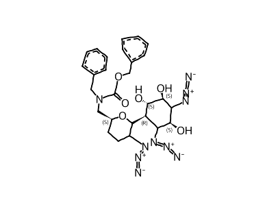 [N-]=[N+]=NC1CC[C@@H](CN(Cc2ccccc2)C(=O)OCc2ccccc2)OC1[C@@H]1C(N=[N+]=[N-])[C@H](O)C(N=[N+]=[N-])[C@H](O)[C@H]1O